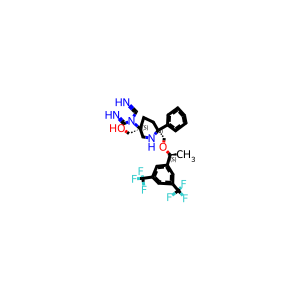 C[C@H](OC[C@@]1(c2ccccc2)CC[C@](CO)(N(C=N)C=N)CN1)c1cc(C(F)(F)F)cc(C(F)(F)F)c1